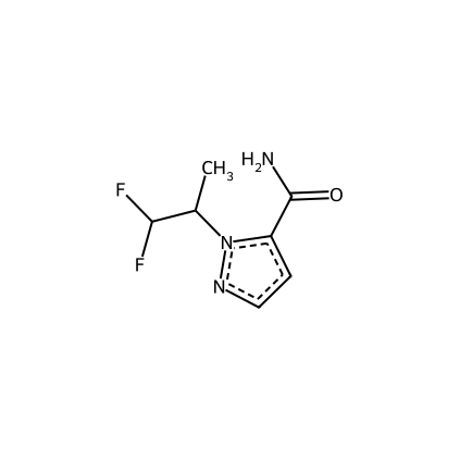 CC(C(F)F)n1nccc1C(N)=O